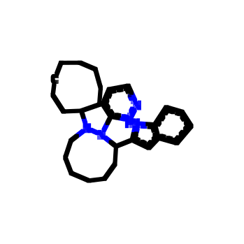 c1cnnc(N2C(c3cc4ccccc4[nH]3)CCCCCCN2C2CCCCCCCC2)c1